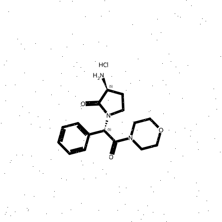 Cl.N[C@H]1CCN([C@H](C(=O)N2CCOCC2)c2ccccc2)C1=O